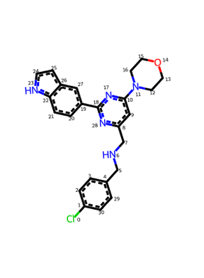 Clc1ccc(CNCc2cc(N3CCOCC3)nc(-c3ccc4[nH]ccc4c3)n2)cc1